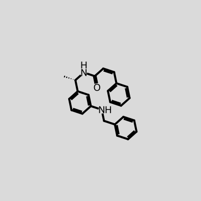 C[C@H](NC(=O)/C=C\c1ccccc1)c1cccc(NCc2ccccc2)c1